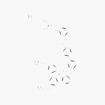 COc1ccc(C(OCc2cccc(-c3ccc(OCc4cccc(COC(=O)CCC(=O)O)c4)cc3)c2)(c2ccccc2)c2ccc(OC)cc2)cc1